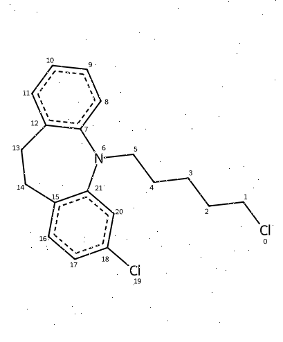 ClCCCCCN1c2ccccc2CCc2ccc(Cl)cc21